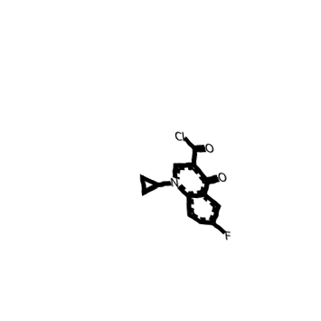 O=C(Cl)c1cn(C2CC2)c2ccc(F)cc2c1=O